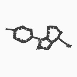 Cc1ccc(-n2ncc3c(Br)cccc32)cc1